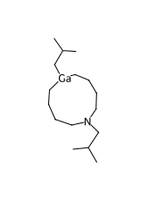 CC(C)CN1CCC[CH2][Ga]([CH2]C(C)C)[CH2]CCC1